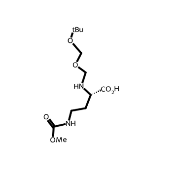 COC(=O)NCC[C@H](NCOCOC(C)(C)C)C(=O)O